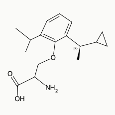 CC(C)c1cccc([C@H](C)C2CC2)c1OCC(N)C(=O)O